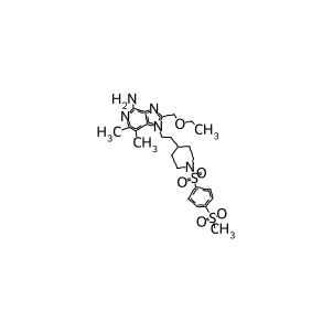 CCOCc1nc2c(N)nc(C)c(C)c2n1CCC1CCN(S(=O)(=O)c2ccc(S(C)(=O)=O)cc2)CC1